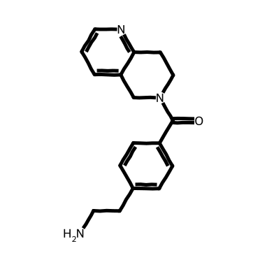 NCCc1ccc(C(=O)N2CCc3ncccc3C2)cc1